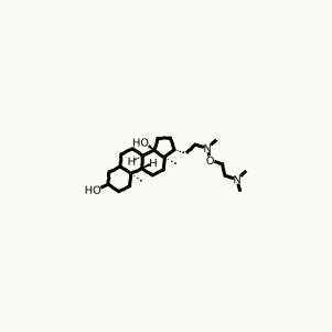 CN(C)CCON(C)CC[C@H]1CC[C@@]2(O)[C@@H]3CCC4CC(O)CC[C@]4(C)[C@H]3CC[C@]12C